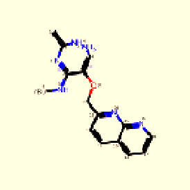 C=C(N)/N=C(NCCCC)\C(=C/N)OCc1ccc2cccnc2n1